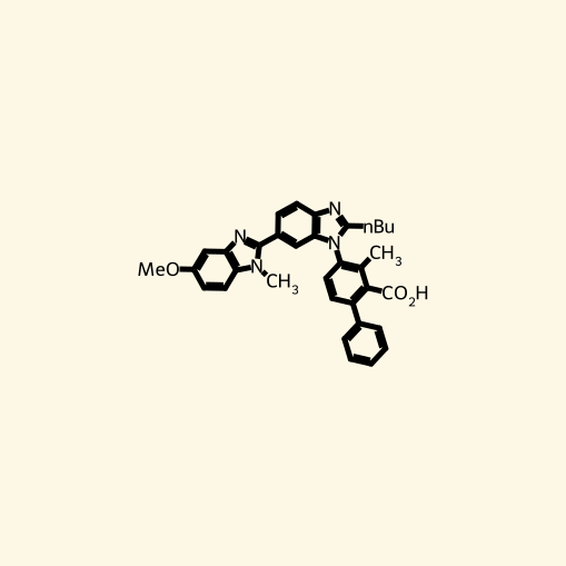 CCCCc1nc2ccc(-c3nc4cc(OC)ccc4n3C)cc2n1-c1ccc(-c2ccccc2)c(C(=O)O)c1C